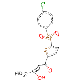 O=C(O)/C(O)=C/C(=O)c1ccc(S(=O)(=O)c2ccc(Cl)cc2)s1